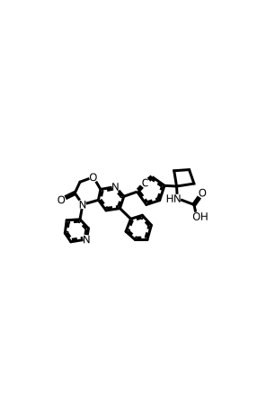 O=C(O)NC1(c2ccc(-c3nc4c(cc3-c3ccccc3)N(c3cccnc3)C(=O)CO4)cc2)CCC1